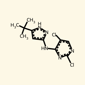 CC(C)(C)c1cc(Nc2nc(Cl)ncc2Cl)n[nH]1